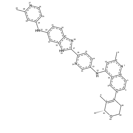 CC1=C(c2ccc3nc(C)cc(Nc4ccc(-c5nc6ccc(Nc7ccnc(C)c7)cc6[nH]5)nc4)c3c2)CCO[C@@H]1C